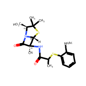 CC(=O)Nc1ccccc1SC(C)C(=O)N[C@@]1(C#N)C(=O)N2[C@@H](C(=O)O)C(C)(C)S[C@@H]21